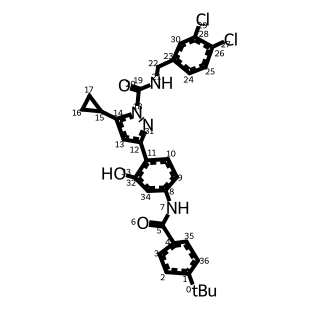 CC(C)(C)c1ccc(C(=O)Nc2ccc(-c3cc(C4CC4)n(C(=O)NCc4ccc(Cl)c(Cl)c4)n3)c(O)c2)cc1